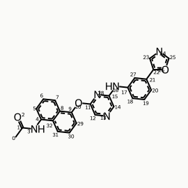 CC(=O)Nc1cccc2c(Oc3cncc(Nc4cccc(-c5cnco5)c4)n3)cccc12